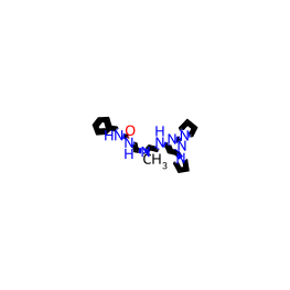 CN(CCNC(=O)NCc1ccccc1)CCNc1cc(N2CCCC2)nc(N2CCCC2)n1